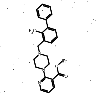 CC(C)OC(=O)c1cccnc1N1CCN(Cc2cccc(-c3ccccc3)c2C(F)(F)F)CC1